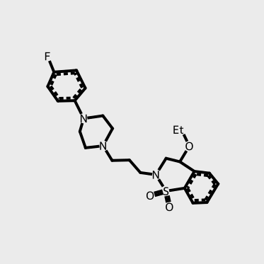 CCOC1CN(CCCN2CCN(c3ccc(F)cc3)CC2)S(=O)(=O)c2ccccc21